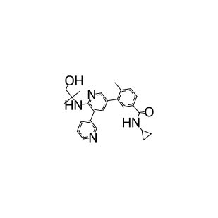 Cc1ccc(C(=O)NC2CC2)cc1-c1cnc(NC(C)(C)CO)c(-c2cccnc2)c1